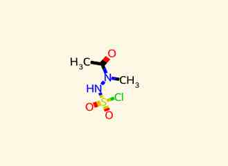 CC(=O)N(C)NS(=O)(=O)Cl